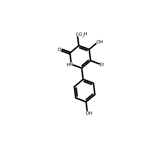 CCc1c(-c2ccc(O)cc2)[nH]c(=O)c(C(=O)O)c1O